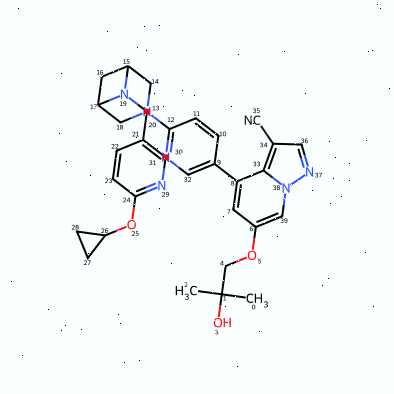 CC(C)(O)COc1cc(-c2ccc(N3CC4CC(C3)N4Cc3ccc(OC4CC4)nc3)nc2)c2c(C#N)cnn2c1